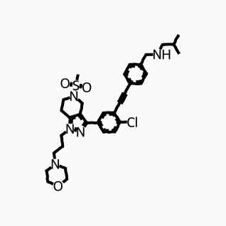 CC(C)CNCc1ccc(C#Cc2cc(-c3nn(CCCN4CCOCC4)c4c3CN(S(C)(=O)=O)CC4)ccc2Cl)cc1